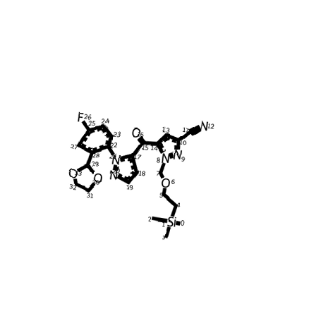 C[Si](C)(C)CCOCn1nc(C#N)cc1C(=O)c1ccnn1-c1ccc(F)cc1C1OCCO1